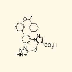 C[C@H](Oc1cccc(-c2cccc(-n3ncc(C(=O)O)c3C3CC3c3c[nH]nn3)c2)c1)C1CCCCC1